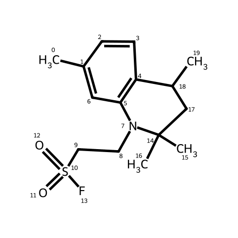 Cc1ccc2c(c1)N(CCS(=O)(=O)F)C(C)(C)CC2C